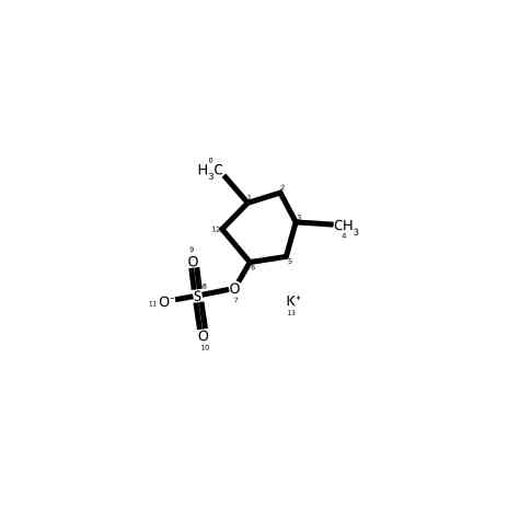 CC1CC(C)CC(OS(=O)(=O)[O-])C1.[K+]